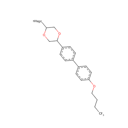 CCCCCCCC1COC(c2ccc(-c3ccc(OCCCC(F)(F)F)cc3)cc2)CO1